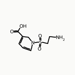 NCCS(=O)(=O)N1C=CC=C(C(=O)O)C1